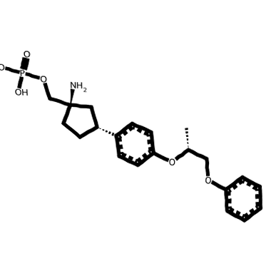 C[C@H](COc1ccccc1)Oc1ccc([C@@H]2CC[C@](N)(COP(=O)(O)O)C2)cc1